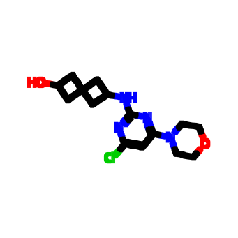 OC1CC2(C1)CC(Nc1nc(Cl)cc(N3CCOCC3)n1)C2